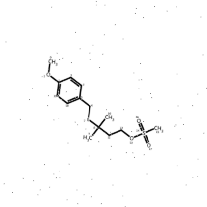 COc1ccc(CSC(C)(C)CCOS(C)(=O)=O)cc1